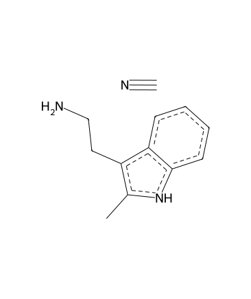 C#N.Cc1[nH]c2ccccc2c1CCN